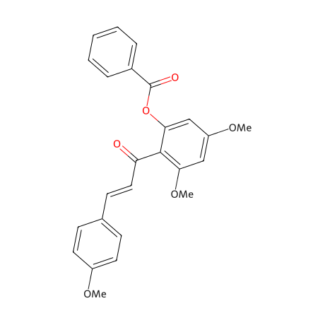 COc1ccc(/C=C/C(=O)c2c(OC)cc(OC)cc2OC(=O)c2ccccc2)cc1